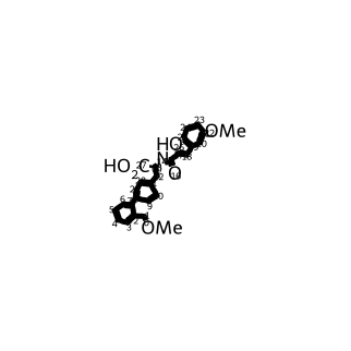 COCc1ccccc1-c1ccc(C[C@H](NC(=O)c2cc3cc(OC)ccc3o2)C(=O)O)cc1